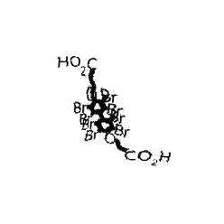 O=C(O)CCCOc1c(Br)c(Br)c(-c2c(Br)c(Br)c(OCCCC(=O)O)c(Br)c2Br)c(Br)c1Br